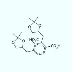 CC1(C)OCC(Cc2ccc(C(=O)O)c(CC3COC(C)(C)O3)c2C(=O)O)O1